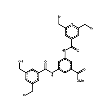 COC(=O)c1cc(NC(=O)c2cc(CO)nc(CBr)c2)cc(NC(=O)c2cc(CBr)nc(CBr)c2)c1